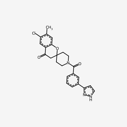 Cc1cc2c(cc1Cl)C(=O)CC1(CCN(C(=O)c3cccc(-c4cc[nH]n4)c3)CC1)O2